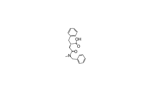 CN(Cc1ccccc1)C(=O)C[C@@H](Cc1ccccc1)C(=O)O